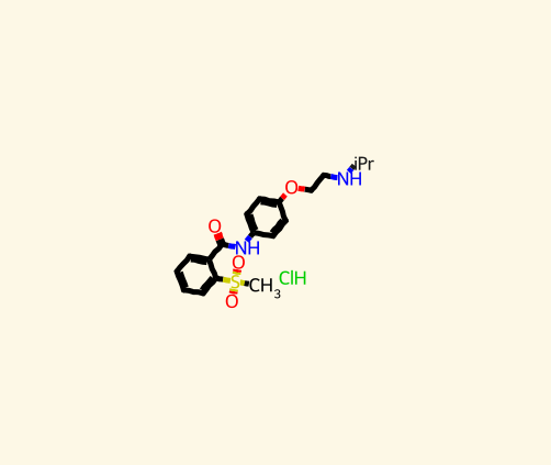 CC(C)NCCOc1ccc(NC(=O)c2ccccc2S(C)(=O)=O)cc1.Cl